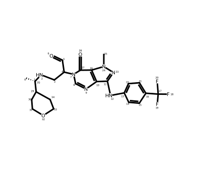 C[C@H](NCC(C=O)n1cnc2c(Nc3ccc(C(F)(F)F)cc3)nn(C)c2c1=O)C1CCOCC1